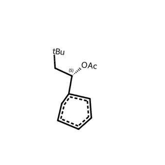 CC(=O)O[C@@H](CC(C)(C)C)c1ccccc1